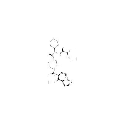 CN[C@@H](C)C(=O)NC(C(=O)N1CCN(C(=O)c2ccn3nccc3c2C)CC1)C1CCCCC1